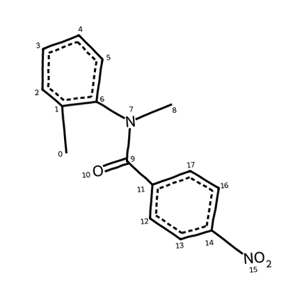 Cc1ccccc1N(C)C(=O)c1ccc([N+](=O)[O-])cc1